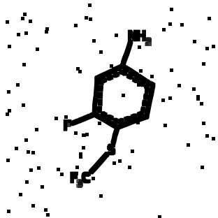 Nc1ccc(SC(F)(F)F)c(F)c1